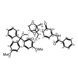 COc1ccc(C(OC[C@]23CO[C@@H](C2CC(=O)O)[C@H](n2ccc(NC(=O)c4ccccc4)nc2=O)O3)(c2ccccc2)c2ccc(OC)cc2)cc1